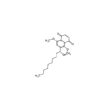 CCCCCCCCCC(O)c1cc(OC)c2c(c1OC)C(=O)C=CC2=O